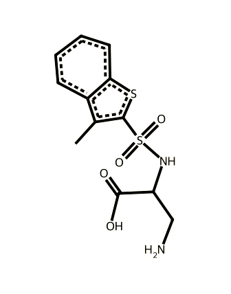 Cc1c(S(=O)(=O)NC(CN)C(=O)O)sc2ccccc12